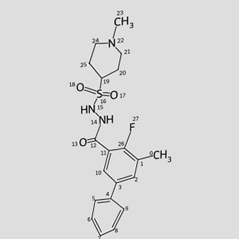 Cc1cc(-c2ccccc2)cc(C(=O)NNS(=O)(=O)C2CCN(C)CC2)c1F